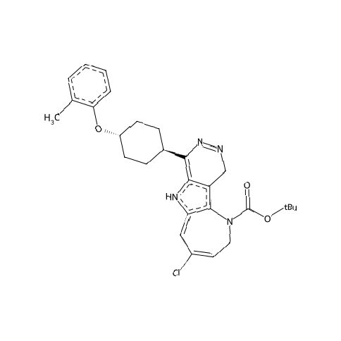 Cc1ccccc1O[C@H]1CC[C@H](C2=c3[nH]c4c(c3CN=N2)N(C(=O)OC(C)(C)C)CC=C(Cl)C=4)CC1